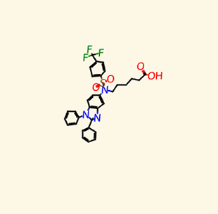 O=C(O)CCCCCN(c1ccc2c(c1)nc(-c1ccccc1)n2-c1ccccc1)S(=O)(=O)c1ccc(C(F)(F)F)cc1